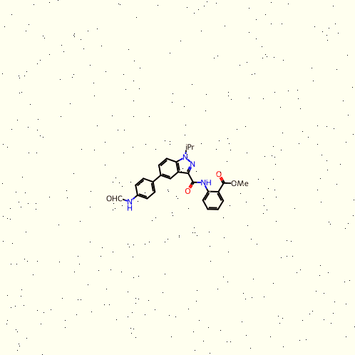 COC(=O)c1ccccc1NC(=O)c1nn(C(C)C)c2ccc(-c3ccc(NC=O)cc3)cc12